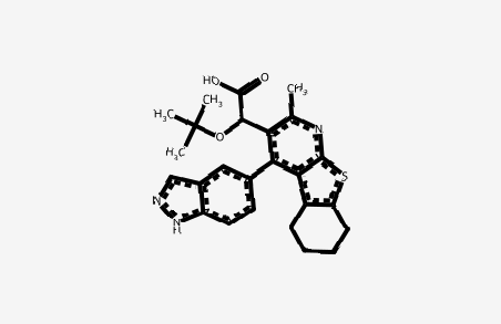 Cc1nc2sc3c(c2c(-c2ccc4[nH]ncc4c2)c1C(OC(C)(C)C)C(=O)O)CCCC3